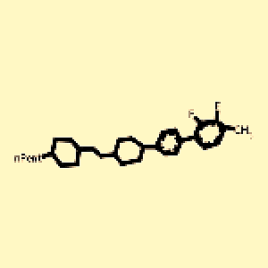 CCCCCC1CCC(CCC2CCC(c3ccc(-c4ccc(C)c(F)c4F)cc3)CC2)CC1